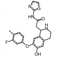 Cc1ccc(Oc2cc3c(cc2O)CCNC3CC(=O)Nc2nccs2)cc1F